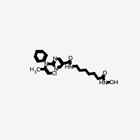 C/C(=C/Cl)N(c1ccccc1)c1ncc(C(=O)NCCCCCCC(=O)NO)cn1